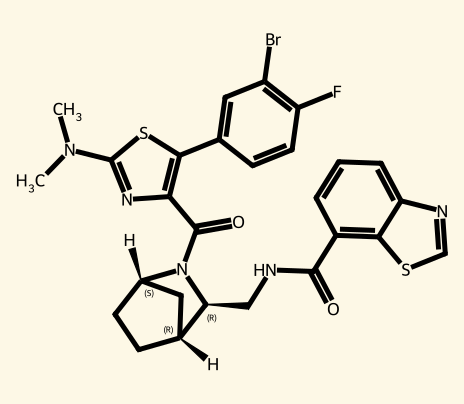 CN(C)c1nc(C(=O)N2[C@H]3CC[C@H](C3)[C@@H]2CNC(=O)c2cccc3ncsc23)c(-c2ccc(F)c(Br)c2)s1